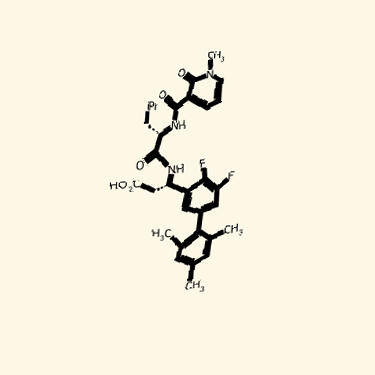 Cc1cc(C)c(-c2cc(F)c(F)c([C@H](CC(=O)O)NC(=O)[C@H](CC(C)C)NC(=O)c3cccn(C)c3=O)c2)c(C)c1